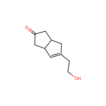 O=C1CC2C=C(CCO)CC2C1